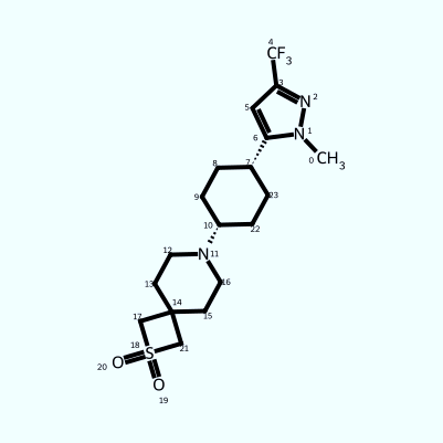 Cn1nc(C(F)(F)F)cc1[C@H]1CC[C@@H](N2CCC3(CC2)CS(=O)(=O)C3)CC1